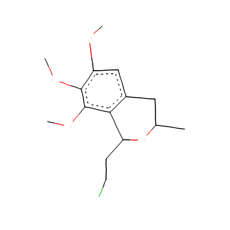 COc1cc2c(c(OC)c1OC)C(CCCl)OC(C)C2